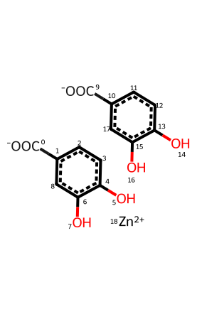 O=C([O-])c1ccc(O)c(O)c1.O=C([O-])c1ccc(O)c(O)c1.[Zn+2]